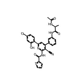 CC(=O)NC(C)C(=O)Nc1cccc(-c2cc(-c3ccc(Cl)cc3O)nc(NC(=O)c3cccs3)c2C#N)c1